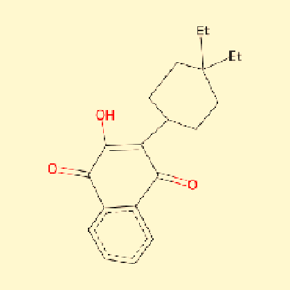 CCC1(CC)CCC(C2=C(O)C(=O)c3ccccc3C2=O)CC1